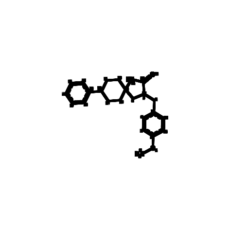 COc1ccc(CN2CC3(CCC(c4ccccc4)CC3)NC2=O)cc1